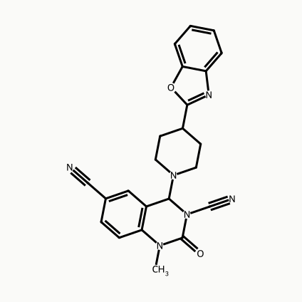 CN1C(=O)N(C#N)C(N2CCC(c3nc4ccccc4o3)CC2)c2cc(C#N)ccc21